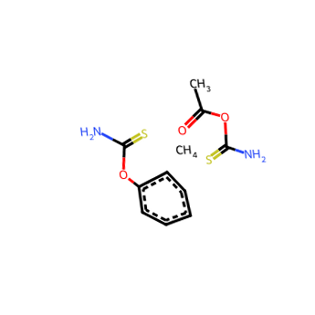 C.CC(=O)OC(N)=S.NC(=S)Oc1ccccc1